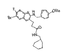 COc1ccc(CNc2nc3cc(F)c(Br)cc3cc2CCC(=O)NCC2CCCCC2)cc1